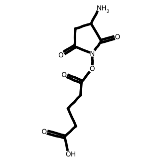 NC1CC(=O)N(OC(=O)CCCC(=O)O)C1=O